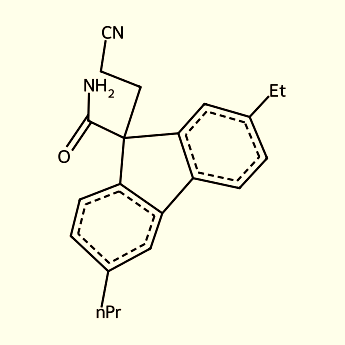 CCCc1ccc2c(c1)-c1ccc(CC)cc1C2(CCC#N)C(N)=O